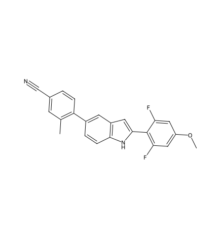 COc1cc(F)c(-c2cc3cc(-c4ccc(C#N)cc4C)ccc3[nH]2)c(F)c1